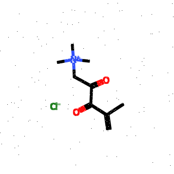 C=C(C)C(=O)C(=O)C[N+](C)(C)C.[Cl-]